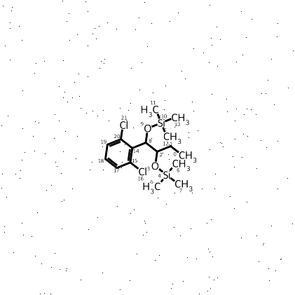 CCC(O[Si](C)(C)C)C(O[Si](C)(C)C)c1c(Cl)cccc1Cl